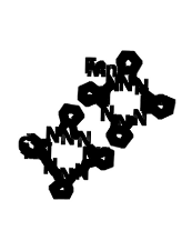 [Fe].[Mn].c1ccc2c(c1)-c1nc-2nc2[nH]c(nc3nc(nc4[nH]c(n1)c1ccccc41)-c1ccccc1-3)c1ccccc21.c1ccc2c(c1)-c1nc-2nc2[nH]c(nc3nc(nc4[nH]c(n1)c1ccccc41)-c1ccccc1-3)c1ccccc21